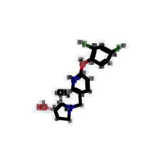 C[C@H]1[C@@H](O)CCN1Cc1ccc(Oc2ccc(F)cc2F)nc1